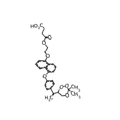 C=C(c1ccc(Oc2cccc3c(OCCOC(=O)CCC(=O)O)cccc23)cc1)C1COC(C)(C)OO1